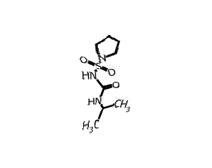 CC(C)NC(=O)NS(=O)(=O)N1CCCC1